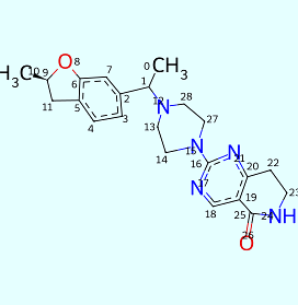 CC(c1ccc2c(c1)O[C@H](C)C2)N1CCN(c2ncc3c(n2)CCNC3=O)CC1